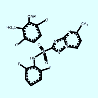 COc1c(Cl)ccc(Cl)c1C(=O)O.Cc1ccn2nc(S(=O)(=O)Nc3c(F)cccc3F)nc2n1